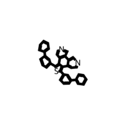 c1ccc(-c2cccc(-c3sc(-c4cccc(-c5ccccc5)c4)c4c5ccncc5c5cnccc5c34)c2)cc1